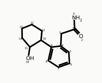 NC(=O)Cc1ccccc1C1CCCCC1O